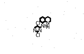 Clc1ncc(Cl)c(Nc2cccc3c2NCCC3)n1